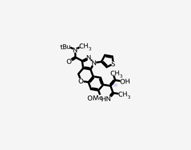 COc1cc2c(cc1/C(C(C)=N)=C(\C)O)-c1c(c(C(=O)N(C)C(C)(C)C)nn1-c1ccsc1)CO2